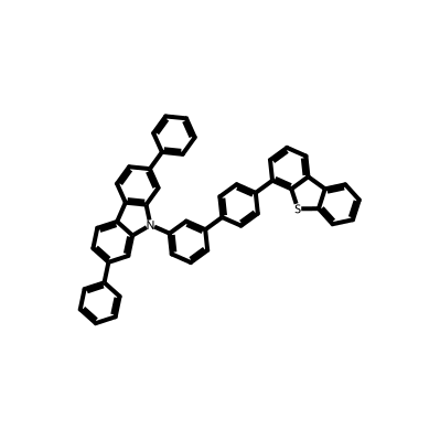 c1ccc(-c2ccc3c4ccc(-c5ccccc5)cc4n(-c4cccc(-c5ccc(-c6cccc7c6sc6ccccc67)cc5)c4)c3c2)cc1